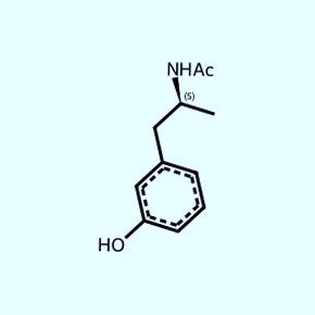 CC(=O)N[C@@H](C)Cc1cccc(O)c1